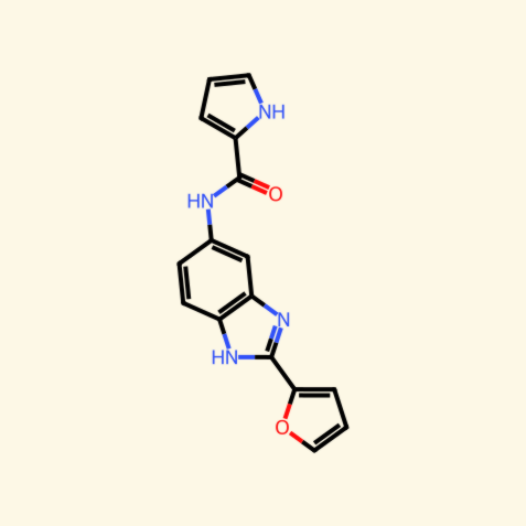 O=C(Nc1ccc2[nH]c(-c3ccco3)nc2c1)c1ccc[nH]1